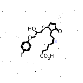 O=C(O)CCC/C=C\CC1C(=O)C=CC1SCC(O)COc1ccc(F)cc1